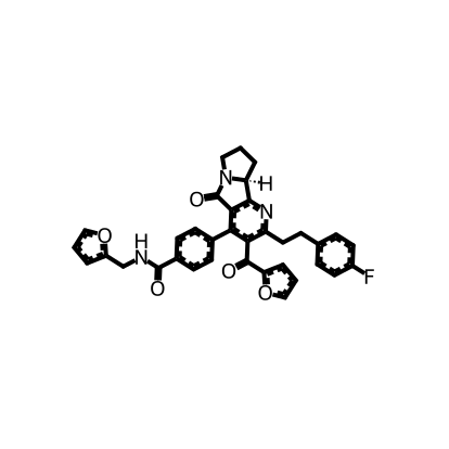 O=C(NCc1ccco1)c1ccc(-c2c(C(=O)c3ccco3)c(CCc3ccc(F)cc3)nc3c2C(=O)N2CCC[C@@H]32)cc1